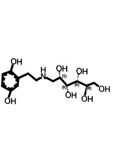 OC[C@@H](O)[C@@H](O)[C@H](O)[C@@H](O)CNCCc1cc(O)ccc1O